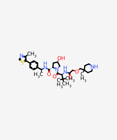 Cc1ncsc1-c1ccc([C@H](C)NC(=O)[C@@H]2C[C@@H](O)CN2C(=O)[C@@H](NC(=O)COCC2(C)CCNCC2)C(C)(C)C)cc1